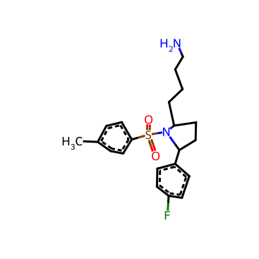 Cc1ccc(S(=O)(=O)N2C(CCCCN)CCC2c2ccc(F)cc2)cc1